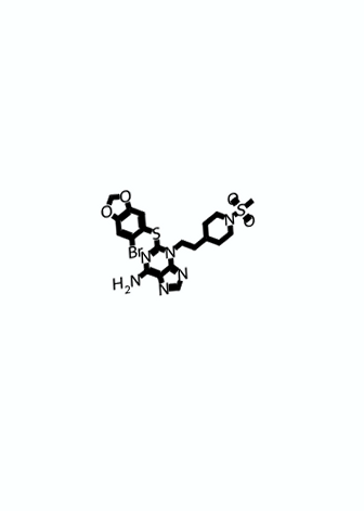 CS(=O)(=O)N1CCC(CCn2c(Sc3cc4c(cc3Br)OCO4)nc(N)c3ncnc2-3)CC1